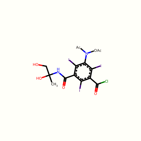 CC(=O)ON(C(C)=O)c1c(I)c(C(=O)Cl)c(I)c(C(=O)NC(C)(O)CO)c1I